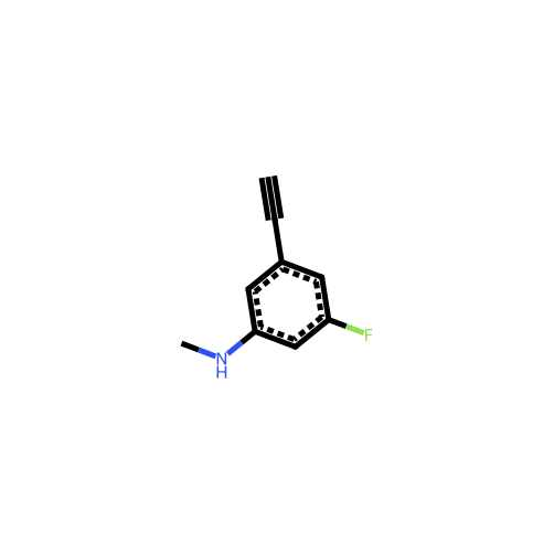 C#Cc1cc(F)cc(NC)c1